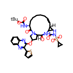 CC(C)(C)OC(=O)N[C@H]1CCCCC/C=C\[C@@H]2C[C@@]2(C(=O)NS(=O)(=O)C2CC2)NC(=O)[C@@H]2CC(Oc3nc4ccccc4nc3-c3cccs3)CN2C1=O